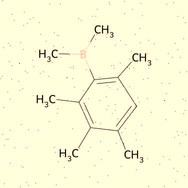 CB(C)c1c(C)cc(C)c(C)c1C